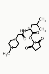 CC(C)C[C@H](NC(=O)CN1CCN(C)CC1)C(=O)ON1C(=O)CCC1=O